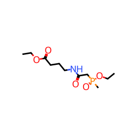 CCOC(=O)CCCNC(=O)CP(C)(=O)OCC